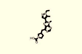 CCn1ncc(-c2nc3c(CC4CCN(C(=O)O)C4)ncnc3n2C)c1C